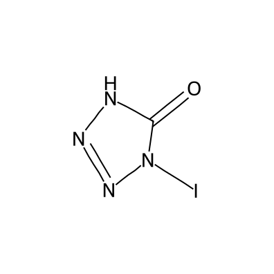 O=c1[nH]nnn1I